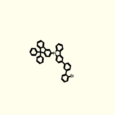 Brc1ccccc1-c1cccc(-c2ccc3c(c2)c2ccccc2n3-c2ccc3c(c2)-c2ccccc2C3(c2ccccc2)c2ccccc2)c1